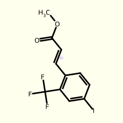 COC(=O)/C=C/c1ccc(I)cc1C(F)(F)F